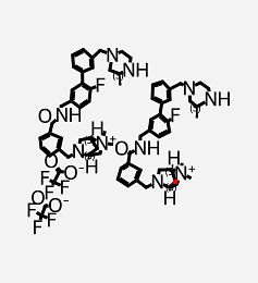 C[C@H]1CN(Cc2cccc(-c3cc(CNC(=O)c4cccc(CN5C[C@@H]6C[C@H]5C[N+]6(C)C)c4)ccc3F)c2)CCN1.C[C@H]1CN(Cc2cccc(-c3cc(CNC(=O)c4cccc(CN5C[C@@H]6C[C@H]5C[N+]6(C)C)c4)ccc3F)c2)CCN1.O=C([O-])C(F)(F)F.O=C([O-])C(F)(F)F